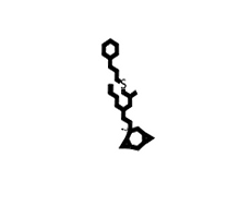 C=CCCC(CC[C@@]1(C)CC2CC2CC2CC21)CC(C)CSCCCC1CCCCC1